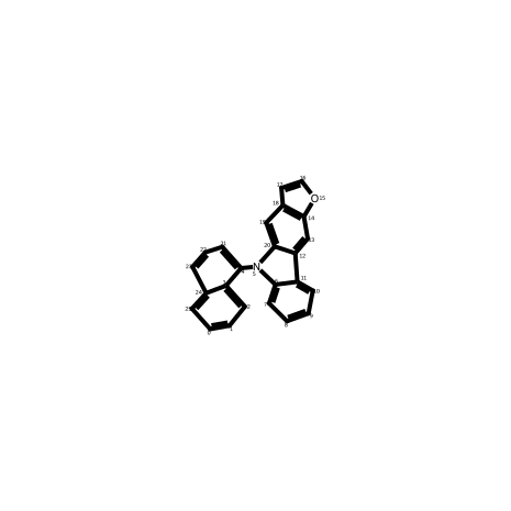 c1ccc2c(-n3c4ccccc4c4cc5occc5cc43)cccc2c1